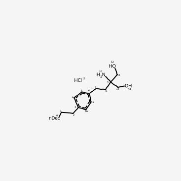 CCCCCCCCCCCCc1ccc(CCC(N)(CO)CO)cc1.Cl